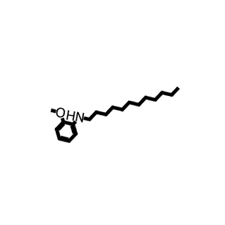 CCCCCCCCCCCCNc1ccccc1OC